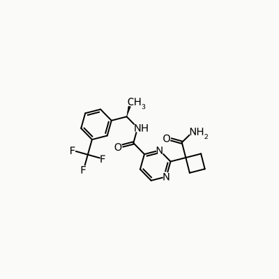 C[C@@H](NC(=O)c1ccnc(C2(C(N)=O)CCC2)n1)c1cccc(C(F)(F)F)c1